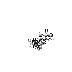 C#Cc1[nH]c(=O)c(C)cc1[C@@H]1O[C@H](CC(C)(CC)OP(=O)(O)C(O)CC)C(O)[C@@H]1F